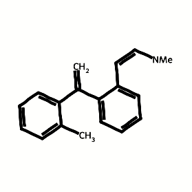 C=C(c1ccccc1C)c1ccccc1/C=C\NC